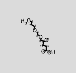 CCCCOCCOCC(=O)CCC(=O)O